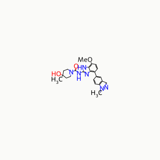 COc1ccc(-c2ccc3c(cnn3C)c2)c2nc(NC(=O)N3CCC(C)(O)CC3)[nH]c12